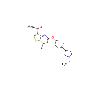 CNC(=O)c1csc2c(C(F)(F)F)cc(OC3CCN(C4CCN(CC(F)(F)F)C4)CC3)nc12